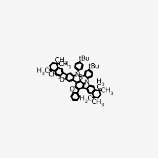 CC(C)(C)c1ccc(N2B3c4cc(C(C)(C)C)ccc4-n4c5cc6c(cc5c5c7c(oc8ccccc87)c(c3c54)-c3cc4oc5cc7c(cc5c4cc32)C(C)(C)CCC7(C)C)C(C)(C)CCC6(C)C)cc1